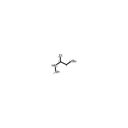 CCCNC(CC)CC(C)(C)C